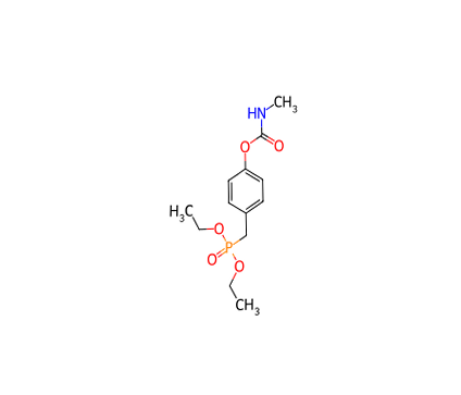 CCOP(=O)(Cc1ccc(OC(=O)NC)cc1)OCC